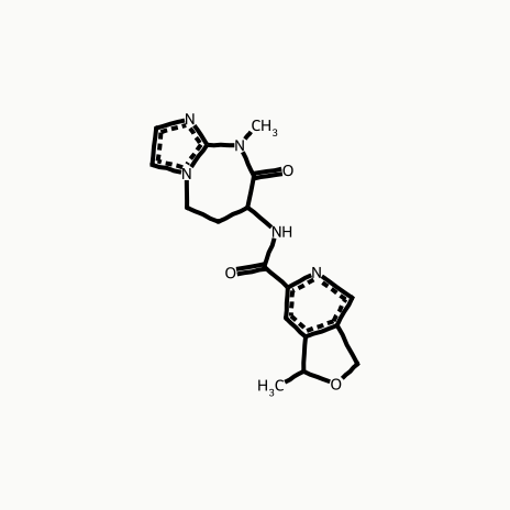 CC1OCc2cnc(C(=O)NC3CCn4ccnc4N(C)C3=O)cc21